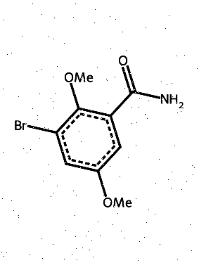 COc1cc(Br)c(OC)c(C(N)=O)c1